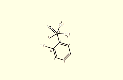 CS(=O)(O)(O)c1ccccc1F